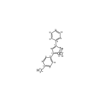 Cc1ccc(-c2cc(-c3ccccc3)[te][o+]2)cc1.[Cl-]